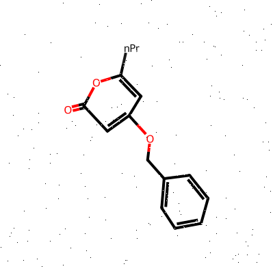 CCCc1cc(OCc2ccccc2)cc(=O)o1